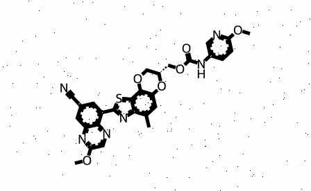 COc1ccc(NC(=O)OC[C@H]2COc3c(cc(C)c4nc(-c5cc(C#N)cc6nc(OC)cnc56)sc34)O2)cn1